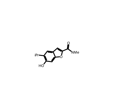 CNC(=O)c1cc2cc(C(C)C)c(O)cc2o1